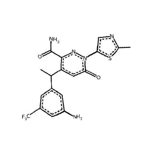 Cc1ncc(-n2nc(C(N)=O)c(C(C)c3cc(N)cc(C(F)(F)F)c3)cc2=O)s1